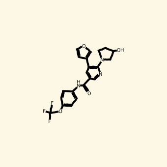 O=C(Nc1ccc(OC(F)(F)F)cc1)c1cnc(N2CCC(O)C2)c(-c2ccoc2)c1